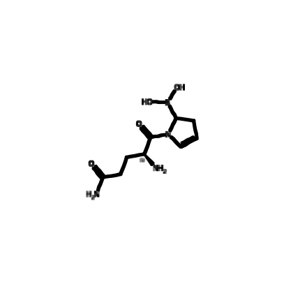 NC(=O)CC[C@H](N)C(=O)N1C=CCC1B(O)O